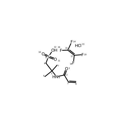 C=CC(=O)NC(C)(C)CS(=O)(=O)O.Cl.FC(F)=C(F)F